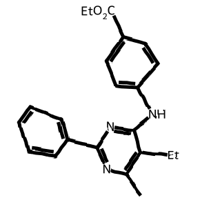 CCOC(=O)c1ccc(Nc2nc(-c3ccccc3)nc(C)c2CC)cc1